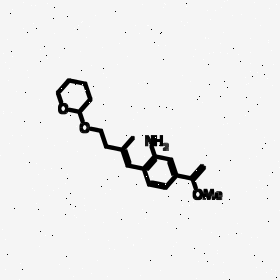 C=C(OC)c1ccc(/C=C(\C)CCOC2CCCCO2)c(N)c1